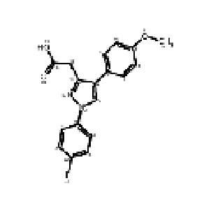 COc1ccc(-c2cn(-c3ccc(F)cc3)nc2CC(=O)O)cc1